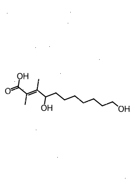 CC(C(=O)O)=C(C)C(O)CCCCCCCO